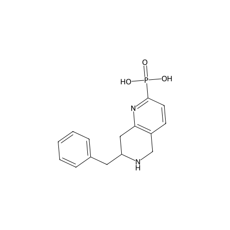 O=P(O)(O)c1ccc2c(n1)CC(Cc1ccccc1)NC2